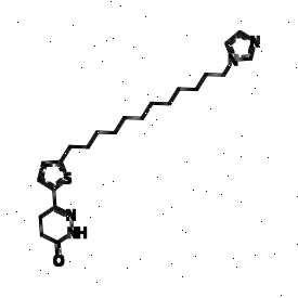 O=C1CCC(c2ccc(CCCCCCCCCCCCn3ccnc3)s2)=NN1